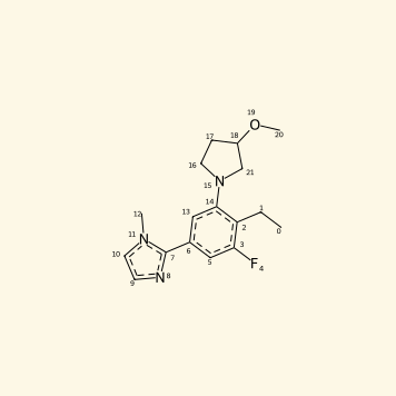 CCc1c(F)cc(-c2nccn2C)cc1N1CCC(OC)C1